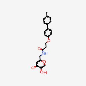 Cc1ccc(-c2ccc(OCCC(=O)NCc3cc(=O)c(O)co3)cc2)cc1